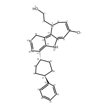 OCCN1CC=C(Cl)C=c2[nH]c3c(c21)CN=NC=3[C@H]1CC[C@H](c2ccccc2)CC1